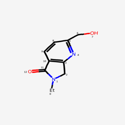 CCN1Cc2nc(CO)ccc2C1=O